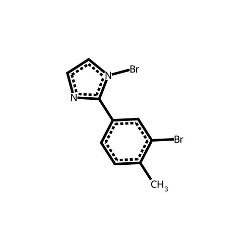 Cc1ccc(-c2nccn2Br)cc1Br